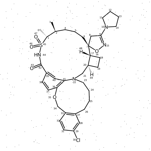 C[C@@H]1[C@@H](C)CCC[C@]2(CC(N3CCCC3)=NO2)[C@@H]2CC[C@H]2CN2CCCCc3cc(Cl)ccc3COc3ccc(cc32)C(=O)NS1(=O)=O